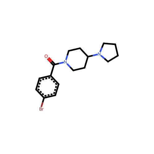 O=C(c1ccc(Br)cc1)N1CCC(N2CCCC2)CC1